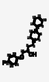 OC(CCN1CCN(c2ccccc2)CC1)COc1ccc(F)cc1